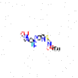 CC(C)(C)OC(=O)N1CCC(Sc2ccc3cnc(Nc4ccc(-n5ccc(CO)n5)cc4F)cc3n2)CC1